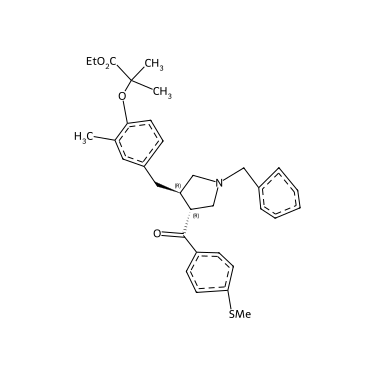 CCOC(=O)C(C)(C)Oc1ccc(C[C@H]2CN(Cc3ccccc3)C[C@@H]2C(=O)c2ccc(SC)cc2)cc1C